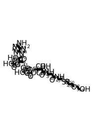 CC(C)(COP(=O)(O)OP(=O)(O)OC[C@H]1O[C@@H](n2cnc3c(N)ncnc32)[C@H](O)[C@@H]1OP(=O)(O)O)C(O)C(=O)NCCC(=O)NCCSOCCOCCO